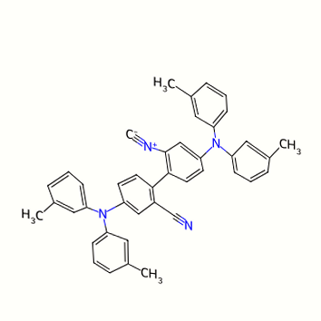 [C-]#[N+]c1cc(N(c2cccc(C)c2)c2cccc(C)c2)ccc1-c1ccc(N(c2cccc(C)c2)c2cccc(C)c2)cc1C#N